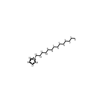 CCCCCCCCCCCCCCn1cccc1